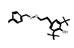 Cc1ccc(COOCCc2cc(C(C)(C)C)c(O)c(C(C)(C)C)c2)cc1